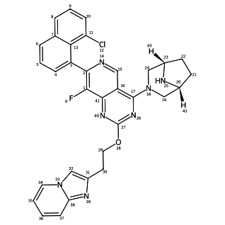 Fc1c(-c2cccc3cccc(Cl)c23)ncc2c(N3C[C@H]4CC[C@@H](C3)N4)nc(OCCc3cn4ccccc4n3)nc12